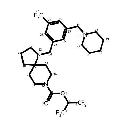 O=C(OC(C(F)(F)F)C(F)(F)F)N1CCC2(CCCN2Cc2cc(CN3CCCCC3)cc(C(F)(F)F)c2)CC1